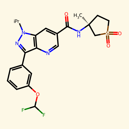 CC(C)n1nc(-c2cccc(OC(F)F)c2)c2ncc(C(=O)N[C@@]3(C)CCS(=O)(=O)C3)cc21